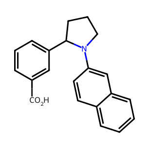 O=C(O)c1cccc(C2CCCN2c2ccc3ccccc3c2)c1